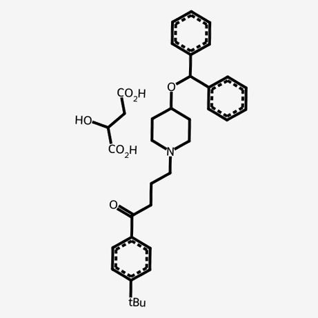 CC(C)(C)c1ccc(C(=O)CCCN2CCC(OC(c3ccccc3)c3ccccc3)CC2)cc1.O=C(O)CC(O)C(=O)O